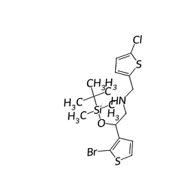 CC(C)(C)[Si](C)(C)OC(CNCc1ccc(Cl)s1)c1ccsc1Br